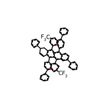 FC(F)(F)c1cccc(-c2c3c(c(-c4ccc(-c5ccccc5)cc4)c4c(-c5cccc(C(F)(F)F)c5)c5cc(-c6ccccc6)ccc5c(-c5ccc(-c6ccccc6)cc5)c24)C=CC(c2ccccc2)C3)c1